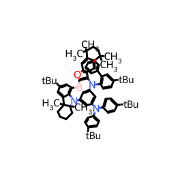 CC(C)(C)c1ccc(N(c2ccc(C(C)(C)C)cc2)c2cc3c4c(c2)N2c5c(cc(C(C)(C)C)cc5C5(C)CCCCC25C)B4c2oc4cc5c(cc4c2N3c2ccc(C(C)(C)C)cc2-c2ccccc2)C(C)(C)CCC5(C)C)cc1